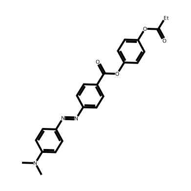 CCC(=O)Oc1ccc(OC(=O)c2ccc(N=Nc3ccc(N(C)C)cc3)cc2)cc1